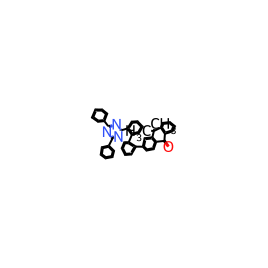 CC1(C)c2ccccc2C(=O)c2ccc(-c3ccccc3-c3ccccc3-c3nc(-c4ccccc4)nc(-c4ccccc4)n3)cc21